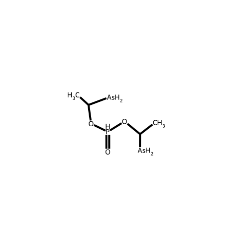 CC([AsH2])O[PH](=O)OC(C)[AsH2]